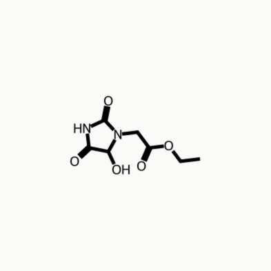 CCOC(=O)CN1C(=O)NC(=O)C1O